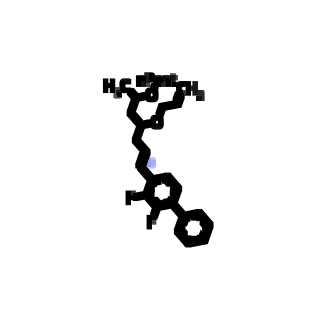 C=CCOC(C/C=C/c1ccc(-c2ccccc2)c(F)c1F)CC(C)OCCCCC